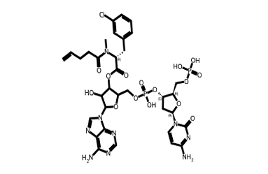 C=CCCC(=O)N(C)[C@H](Cc1cccc(Cl)c1)C(=O)OC1C(COP(=O)(O)O[C@H]2C[C@H](n3ccc(N)nc3=O)O[C@@H]2COP(=O)(O)O)OC(n2cnc3c(N)ncnc32)C1O